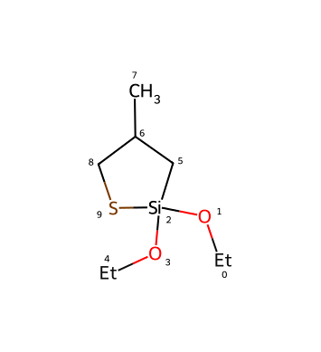 CCO[Si]1(OCC)CC(C)CS1